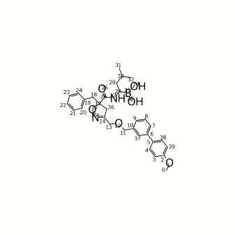 COc1ccc(-c2cccc(COCC3=NOC(Cc4ccccc4)(C(=O)NC(CC(C)C)B(O)O)C3)c2)cc1